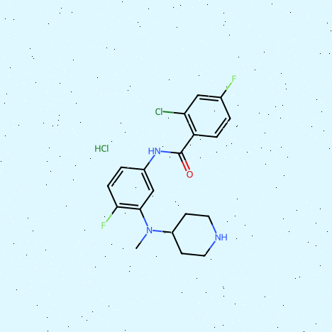 CN(c1cc(NC(=O)c2ccc(F)cc2Cl)ccc1F)C1CCNCC1.Cl